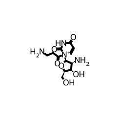 NCCC(=O)[N+]1([C@@H]2O[C@H](CO)[C@@H](O)[C@H]2N)C=CC(=O)NC1=O